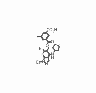 CCc1nc2c(cnn2CC)c(NC2CCOCC2)c1COC(=O)c1cc(C)cc(C(=O)O)c1